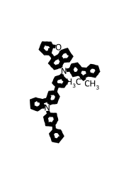 CC1(C)c2ccccc2-c2ccc(N(c3ccc(-c4ccc5c(c4)c4ccccc4n5-c4ccc(-c5ccccc5)cc4)cc3)c3ccc4c5c(cccc35)Oc3ccccc3-4)cc21